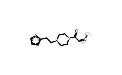 O=C(/C=N\O)N1CCN(CCc2cccs2)CC1